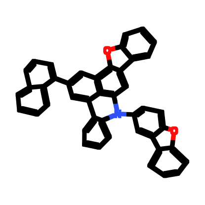 c1cc(-c2ccccc2N(c2ccc3oc4ccccc4c3c2)c2ccc3oc4ccccc4c3c2)cc(-c2cccc3ccccc23)c1